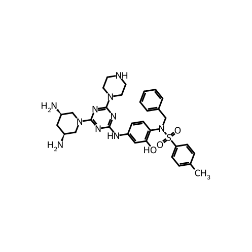 Cc1ccc(S(=O)(=O)N(Cc2ccccc2)c2ccc(Nc3nc(N4CCNCC4)nc(N4C[C@H](N)C[C@H](N)C4)n3)cc2O)cc1